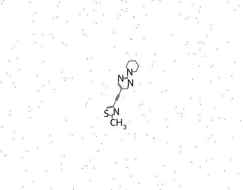 Cc1nc(C#Cc2cnc(N3CCCCC3)nc2)cs1